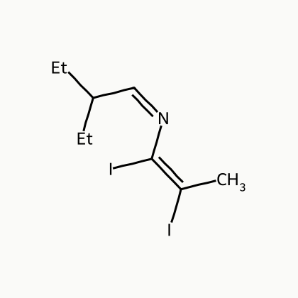 CCC(/C=N\C(I)=C(/C)I)CC